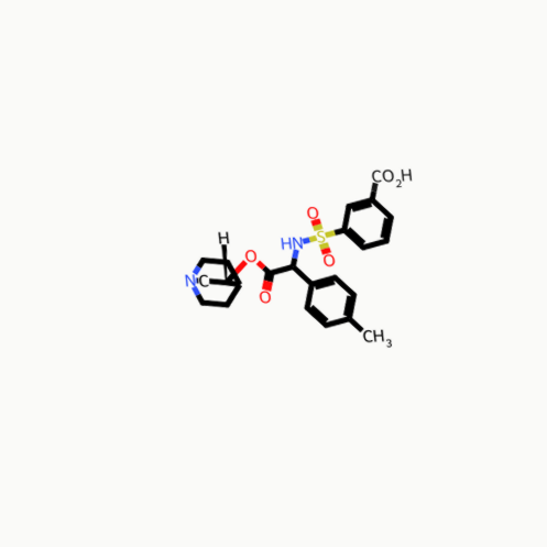 Cc1ccc(C(NS(=O)(=O)c2cccc(C(=O)O)c2)C(=O)O[C@H]2CN3CCC2CC3)cc1